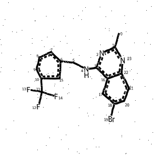 Cc1nc(NCc2cccc(C(F)(F)F)c2)c2cc(Br)ccc2n1